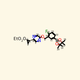 CCOC(=O)[C@H]1C[C@@H]1c1cnc(OCc2cc(B3OC(C)(C)C(C)(C)O3)ccc2F)cn1